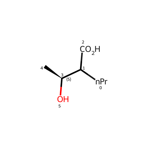 CCCC(C(=O)O)[C@H](C)O